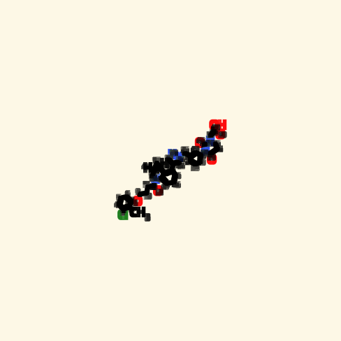 Cc1c(Cl)cccc1OCCCC(=O)N1C[C@@H]2C[C@@H]2c2c(-c3cnn(Cc4cccc(N5C(=O)CCN(CC(=O)O)C5=O)c4)c3)cccc21